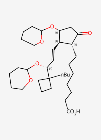 CCCCC1([C@@H](C=C[C@H]2[C@H](OC3CCCCO3)CC(=O)[C@@H]2CCCCCCC(=O)O)OC2CCCCO2)CCC1